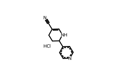 Cl.N#CC1=CNC(c2ccncc2)CC1